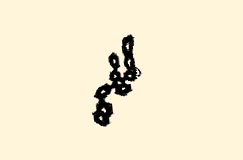 c1ccc(-c2ccc3c(-c4cccc(-c5ccc6ccccc6c5)c4)c4ccccc4c(-c4ccc5oc6cc7ccccc7cc6c5c4)c3c2)cc1